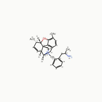 CC(=O)Oc1ccc2c3c1O[C@H]1[C@@H](OC(C)=O)C=C[C@H]4[C@@H](C2)N(C)CC[C@@]341.CC(N)Cc1ccccc1